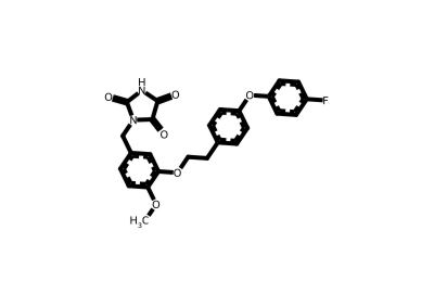 COc1ccc(CN2C(=O)NC(=O)C2=O)cc1OCCc1ccc(Oc2ccc(F)cc2)cc1